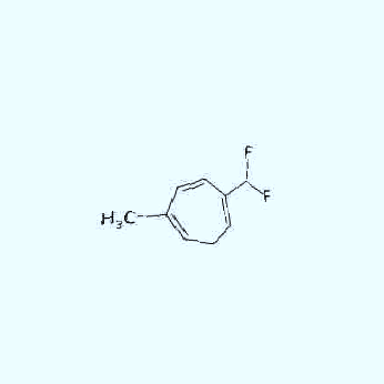 CC1=CCC=C(C(F)F)C=C1